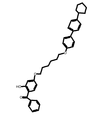 O=C(c1ccccc1)c1ccc(OCCCCCCOc2ccc(-c3ccc(C4CCCCC4)cc3)cc2)cc1O